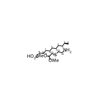 C=CCCCCCCCCC(=O)O.COC(CSCCN)OC